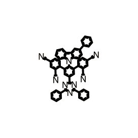 N#Cc1ccc(-c2cc(-c3nc(-c4ccccc4)nc(-c4ccccc4)n3)cc(-c3ccc(C#N)cc3C#N)c2-n2c3ccccc3c3cc(-c4ccccc4)ccc32)c(C#N)c1